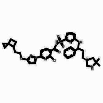 CC1(C)C[C@H](CCC(Nc2cccc(S(=O)(=O)NC(=O)c3ccc(-n4ccc(OCCC5CCC56CC6)n4)nc3Cl)n2)c2ccccc2)CN1